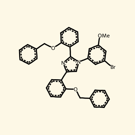 COc1cc(Br)cc(-n2cc(-c3ccccc3OCc3ccccc3)nc2-c2ccccc2OCc2ccccc2)c1